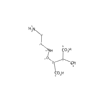 NCCNOC(C(=O)O)C(O)C(=O)O